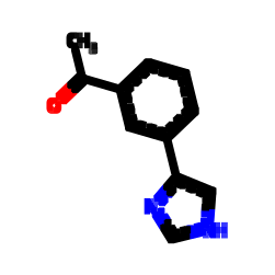 CC(=O)c1cccc(-c2c[nH]cn2)c1